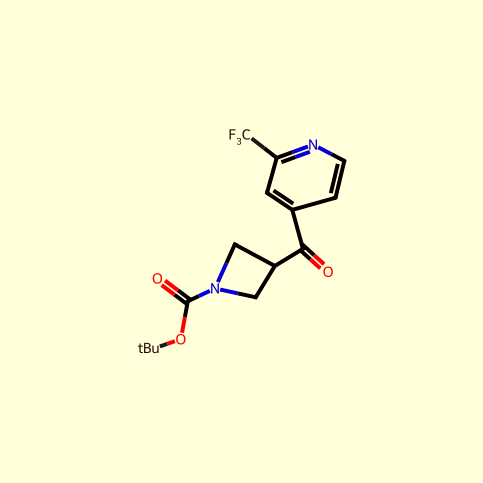 CC(C)(C)OC(=O)N1CC(C(=O)c2ccnc(C(F)(F)F)c2)C1